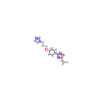 c1cn(CCCOc2ccc(-c3noc(C4CC4)n3)cc2)cn1